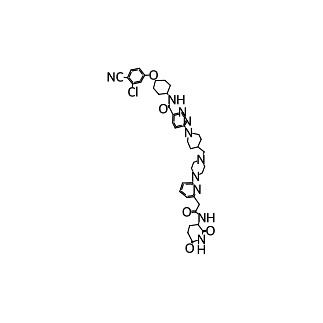 N#Cc1ccc(O[C@H]2CC[C@H](NC(=O)c3ccc(N4CCC(CN5CCN(c6cccc(CC(=O)NC7CCC(=O)NC7=O)n6)CC5)CC4)nn3)CC2)cc1Cl